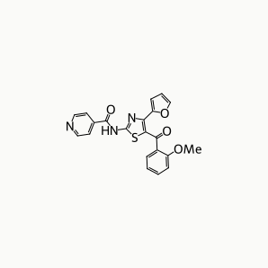 COc1ccccc1C(=O)c1sc(NC(=O)c2ccncc2)nc1-c1ccco1